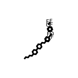 CCCCCC1CCC(C2CCC(CCc3ccc(C(F)(F)Oc4ccc(OC(F)(F)F)cc4)cc3)CC2)CC1